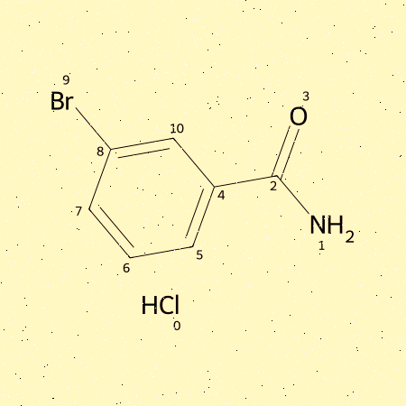 Cl.NC(=O)c1cccc(Br)c1